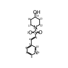 O=S(=O)(/C=C/c1cccnc1)N1CCC(O)CC1